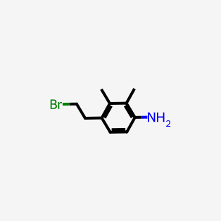 Cc1c(N)ccc(CCBr)c1C